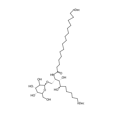 CCCCCCCCCCCCCCCCCCCCCCCCCC(=O)N[C@@H](CO[C@H]1OC(CO)[C@H](O)[C@H](O)C1O)[C@H](O)[C@H](O)CCCCCCCCCCCCCCC